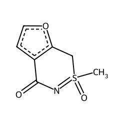 CS1(=O)=NC(=O)c2ccoc2C1